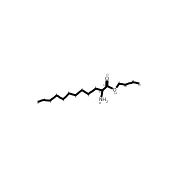 CCCCCCCCCCC(N)C(=O)OCCCC